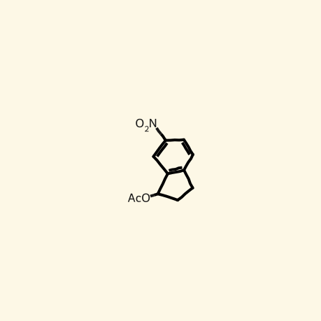 CC(=O)OC1CCc2ccc([N+](=O)[O-])cc21